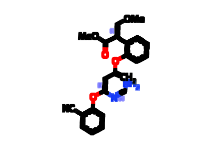 C=C(/C=C(\N=C/N)Oc1ccccc1C#N)Oc1ccccc1/C(=C\OC)C(=O)OC